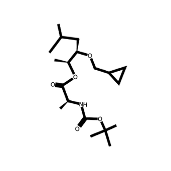 CC(C)C[C@@H](OCC1CC1)[C@H](C)OC(=O)[C@H](C)NC(=O)OC(C)(C)C